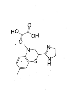 Cc1ccc2c(c1)SC(C1=NCCN1)CN2C.O=C(O)C(=O)O